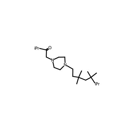 CC(C)C(=O)CN1CCN(CCC(C)(C)CC(C)(C)C(C)C)CC1